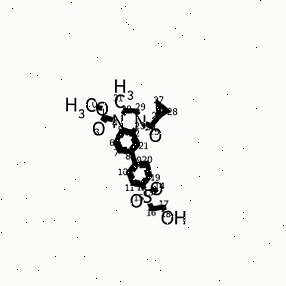 COC(=O)N1c2ccc(-c3ccc(S(=O)(=O)CCO)cc3)cc2N(C(=O)C2CC2)C[C@@H]1C